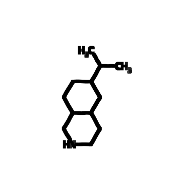 CC(C)C1CCC2CNCCC2C1